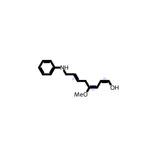 CO/C(=C/C=C\O)C/C=C/CNc1ccccc1